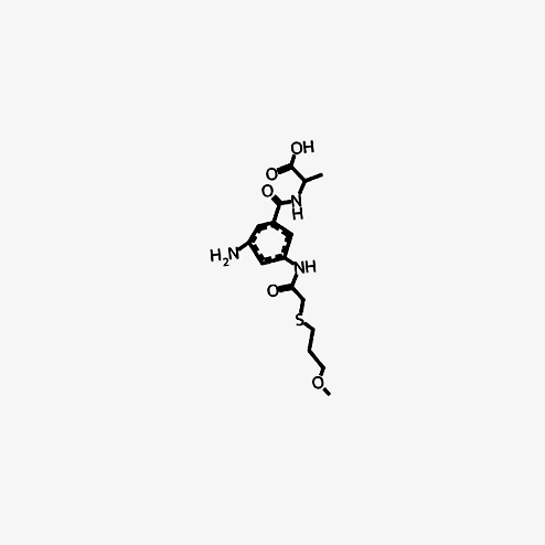 COCCCSCC(=O)Nc1cc(N)cc(C(=O)NC(C)C(=O)O)c1